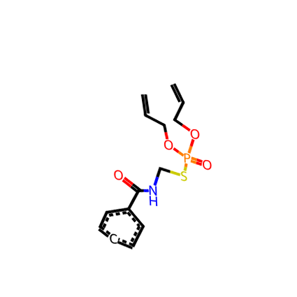 C=CCOP(=O)(OCC=C)SCNC(=O)c1ccccc1